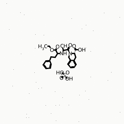 CCOC(=O)C(CCc1ccccc1)NC(C)C(=O)N1Cc2ccccc2C[C@H]1C(=O)O.O=S(=O)(O)O